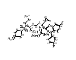 COC(=O)N[C@H](C(=O)N[C@H](CCC[C@@H](CO)N(CCC(C)C)S(=O)(=O)c1ccc(N)cc1)C1CC1)C(c1ccc(F)cc1)c1ccc(F)cc1